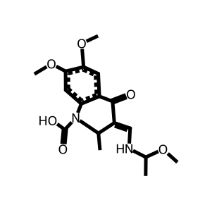 COc1cc2c(cc1OC)N(C(=O)O)C(C)C(=CNC(C)OC)C2=O